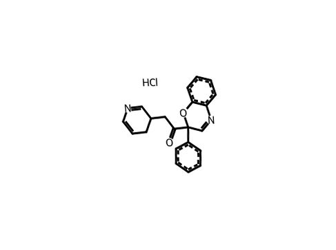 Cl.O=C(CC1C=NC=CC1)C1(c2ccccc2)C=Nc2ccccc2O1